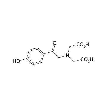 O=C(O)CN(CC(=O)O)CC(=O)c1ccc(O)cc1